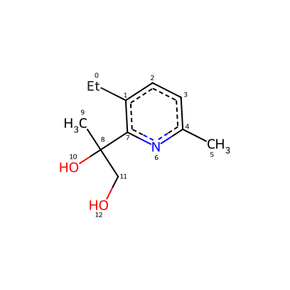 CCc1ccc(C)nc1C(C)(O)CO